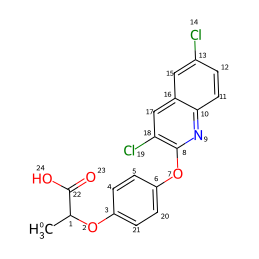 CC(Oc1ccc(Oc2nc3ccc(Cl)cc3cc2Cl)cc1)C(=O)O